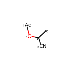 [CH2]C(C#N)OC(C)=O